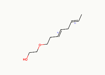 C/C=C/C/C=C/CCOCCO